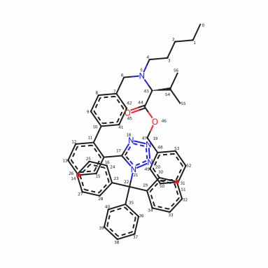 CCCCCN(Cc1ccc(-c2ccccc2-c2nnnn2C(c2ccccc2)(c2ccccc2)c2ccccc2)cc1)[C@H](C(=O)OCc1ccccc1)C(C)C